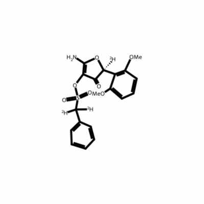 [2H]C([2H])(c1ccccc1)S(=O)(=O)OC1=C(N)O[C@@]([2H])(c2c(OC)cccc2OC)C1=O